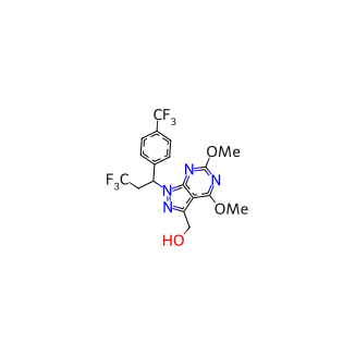 COc1nc(OC)c2c(CO)nn(C(CC(F)(F)F)c3ccc(C(F)(F)F)cc3)c2n1